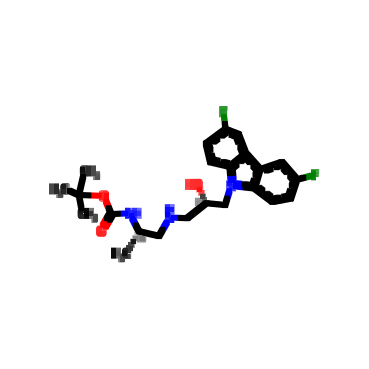 C[C@@H](CNC[C@H](O)Cn1c2ccc(F)cc2c2cc(F)ccc21)NC(=O)OC(C)(C)C